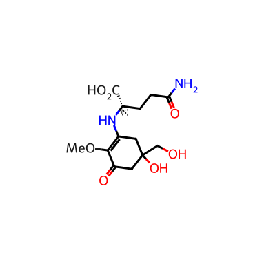 COC1=C(N[C@@H](CCC(N)=O)C(=O)O)CC(O)(CO)CC1=O